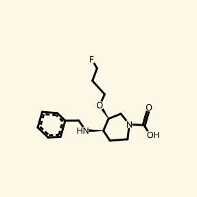 O=C(O)N1CC[C@@H](NCc2ccccc2)[C@@H](OCCCF)C1